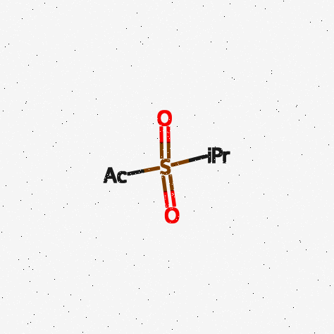 CC(=O)S(=O)(=O)C(C)C